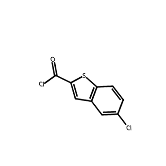 O=C(Cl)c1cc2cc(Cl)ccc2s1